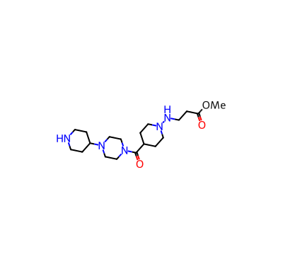 COC(=O)CCNN1CCC(C(=O)N2CCN(C3CCNCC3)CC2)CC1